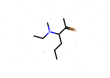 CCCC(C(C)=S)N(C)CC